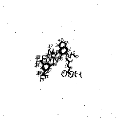 CCN(CCCCC(=O)O)c1cc2c(cc1CN(Cc1cc(C(F)(F)F)cc(C(F)(F)F)c1)c1ncn(C)n1)CCC2